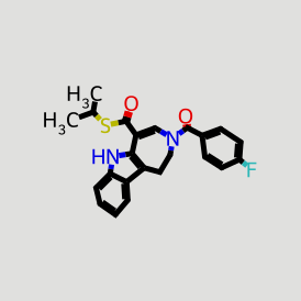 CC(C)SC(=O)C1=CN(C(=O)c2ccc(F)cc2)CCc2c1[nH]c1ccccc21